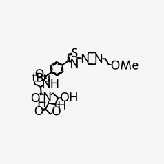 COCCN1CCN(c2nc(-c3ccc(C(=O)NC(CC(C)(C)C)C(=O)N4C[C@H](O)[C@H]5OCC(=O)[C@H]54)cc3)cs2)CC1